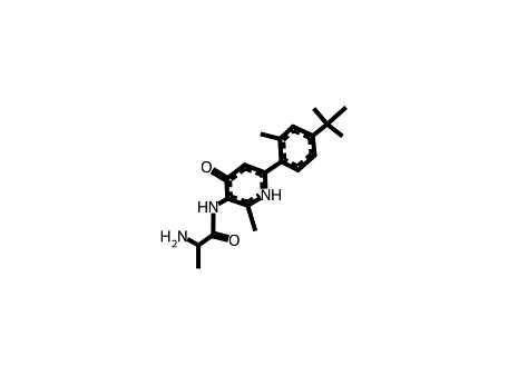 Cc1cc(C(C)(C)C)ccc1-c1cc(=O)c(NC(=O)C(C)N)c(C)[nH]1